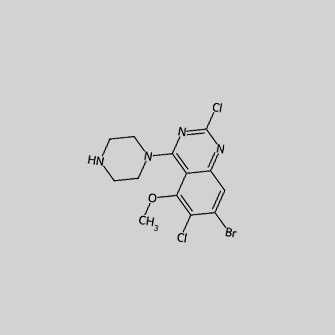 COc1c(Cl)c(Br)cc2nc(Cl)nc(N3CCNCC3)c12